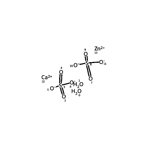 O.O.O=S(=O)([O-])[O-].O=S(=O)([O-])[O-].[Ca+2].[Zn+2]